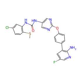 CSc1ccc(Cl)cc1NC(=O)Nc1cnc(Oc2ccc(-c3cc(F)cnc3N)cc2)nc1